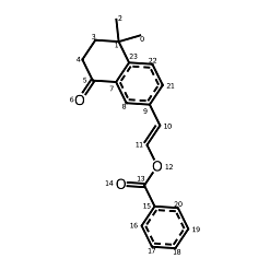 CC1(C)CCC(=O)c2cc(C=COC(=O)c3ccccc3)ccc21